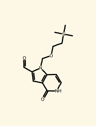 C[Si](C)(C)CCOCn1c(C=O)cc2c(=O)[nH]ccc21